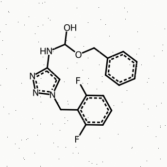 OC(Nc1cn(Cc2c(F)cccc2F)nn1)OCc1ccccc1